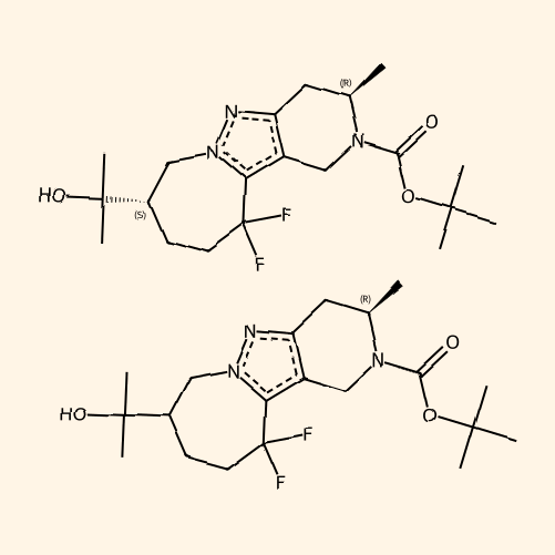 C[C@@H]1Cc2nn3c(c2CN1C(=O)OC(C)(C)C)C(F)(F)CCC(C(C)(C)O)C3.C[C@@H]1Cc2nn3c(c2CN1C(=O)OC(C)(C)C)C(F)(F)CC[C@H](C(C)(C)O)C3